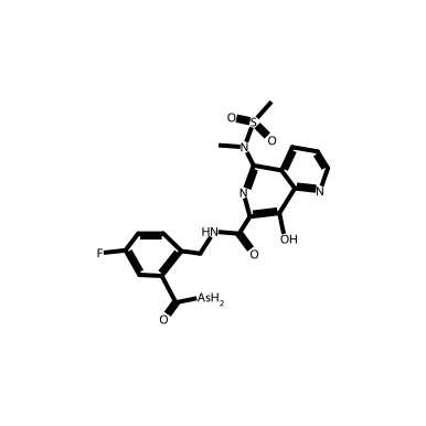 CN(c1nc(C(=O)NCc2ccc(F)cc2C(=O)[AsH2])c(O)c2ncccc12)S(C)(=O)=O